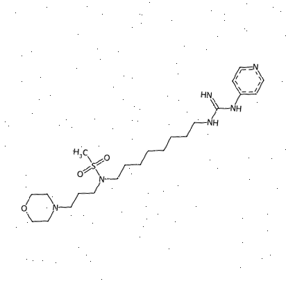 CS(=O)(=O)N(CCCCCCCCNC(=N)Nc1ccncc1)CCCN1CCOCC1